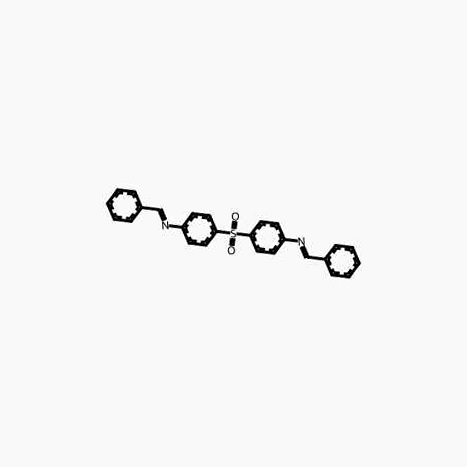 O=S(=O)(c1ccc(/N=C/c2ccccc2)cc1)c1ccc(/N=C/c2ccccc2)cc1